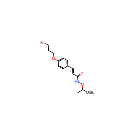 CC(C)COC(C)ONC(=O)/C=C/c1ccc(OCCCBr)cc1